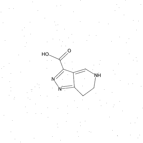 O=C(O)C1=NN=C2CCNC=C21